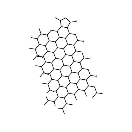 CC(I)CC1C(C)C2C(C)C3C(C(C)C(C)C)C(C(C)C(C)C)C(C)C4C5C(C(C)C(C)C)C(C)C6C7C(C(C)C(C)C)C(C)C8C9C(C(C)C(C)C)C(C)C(C)C%10CC%11C%12C(C)CC(I)C%12C%12CC(I)C%13C%14CC(I)C%15C%16CC(I)C1C1C%16C%16C%17C%15C%14C%14C%15C%13C%12C%11C(C%109)C%15C8C7C%14C%17C6C5C%16C(C34)C21